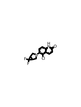 O=c1ccc2c(Cl)c(N3CC4C(C3)C4(F)F)ccc2[nH]1